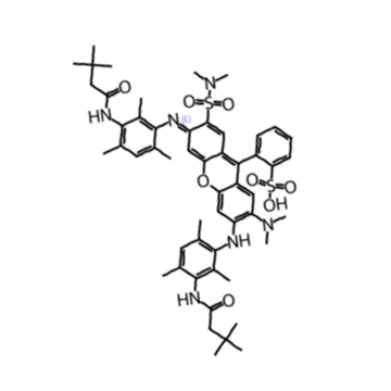 Cc1cc(C)c(NC(=O)CC(C)(C)C)c(C)c1/N=c1\cc2oc3cc(Nc4c(C)cc(C)c(NC(=O)CC(C)(C)C)c4C)c(N(C)C)cc3c(-c3ccccc3S(=O)(=O)O)c-2cc1S(=O)(=O)N(C)C